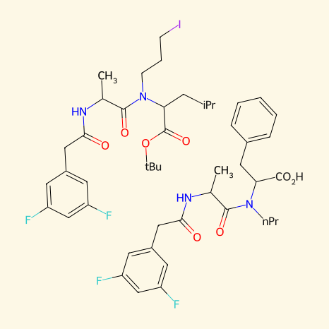 CC(C)CC(C(=O)OC(C)(C)C)N(CCCI)C(=O)C(C)NC(=O)Cc1cc(F)cc(F)c1.CCCN(C(=O)C(C)NC(=O)Cc1cc(F)cc(F)c1)C(Cc1ccccc1)C(=O)O